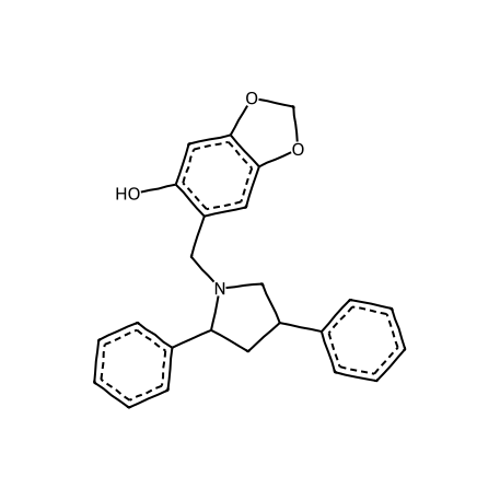 Oc1cc2c(cc1CN1CC(c3ccccc3)CC1c1ccccc1)OCO2